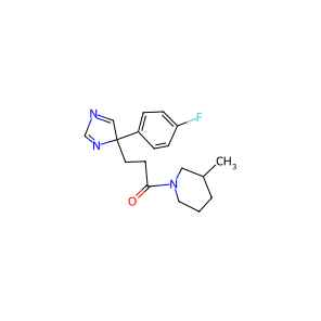 CC1CCCN(C(=O)CCC2(c3ccc(F)cc3)C=NC=N2)C1